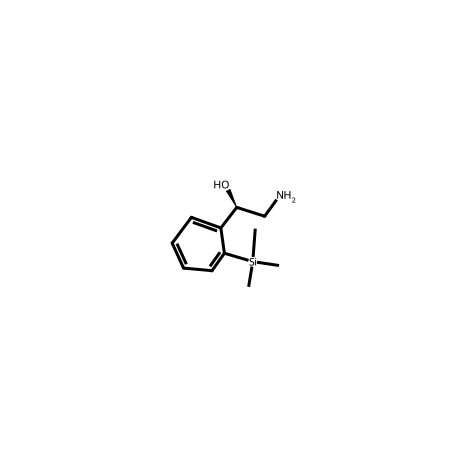 C[Si](C)(C)c1ccccc1[C@@H](O)CN